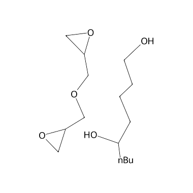 C(OCC1CO1)C1CO1.CCCCC(O)CCCCO